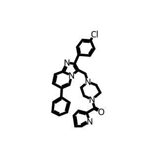 O=C(c1ccccn1)N1CCN(Cc2c(-c3ccc(Cl)cc3)nc3ccc(-c4ccccc4)cn23)CC1